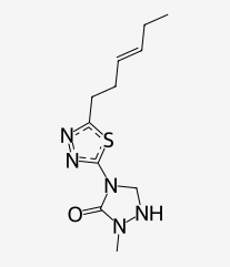 CCC=CCCc1nnc(N2CNN(C)C2=O)s1